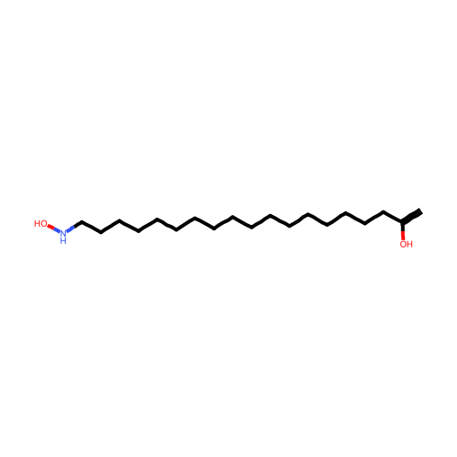 C=C(O)CCCCCCCCCCCCCCCCCNO